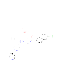 COC(=O)CC1CN(S(=O)(=O)c2ccc3cc(Cl)ccc3c2)CC(=O)N1N(C)C1CCN(c2ccncc2)CC1